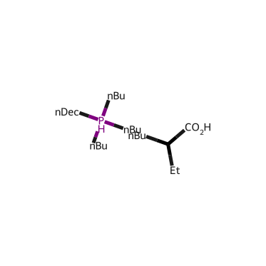 CCCCC(CC)C(=O)O.CCCCCCCCCC[PH](CCCC)(CCCC)CCCC